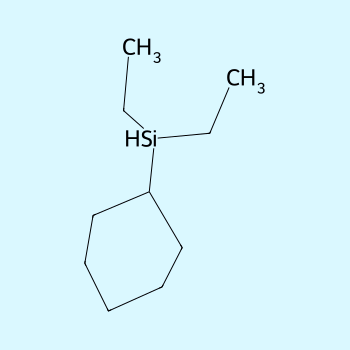 CC[SiH](CC)C1CCCCC1